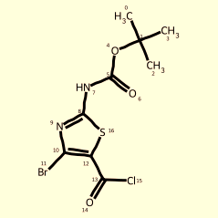 CC(C)(C)OC(=O)Nc1nc(Br)c(C(=O)Cl)s1